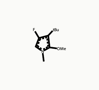 COc1c(C(C)(C)C)c(F)cn1C